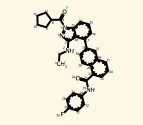 CCNc1nn(C(=O)C2CCCC2)c2cccc(-c3ccc4c(C(=O)Nc5ccc(F)cc5)cccc4c3)c12